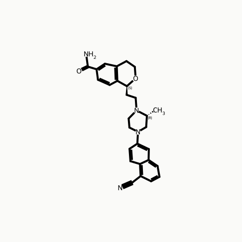 C[C@@H]1CN(c2ccc3c(C#N)cccc3c2)CCN1CC[C@@H]1OCCc2cc(C(N)=O)ccc21